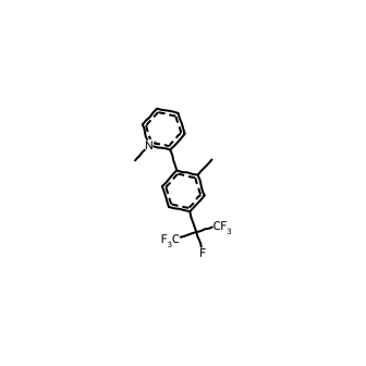 Cc1cc(C(F)(C(F)(F)F)C(F)(F)F)ccc1-c1cccc[n+]1C